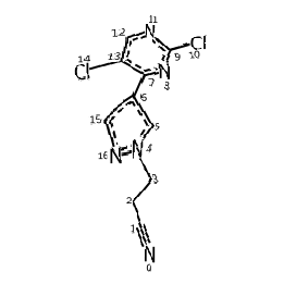 N#CCCn1cc(-c2nc(Cl)ncc2Cl)cn1